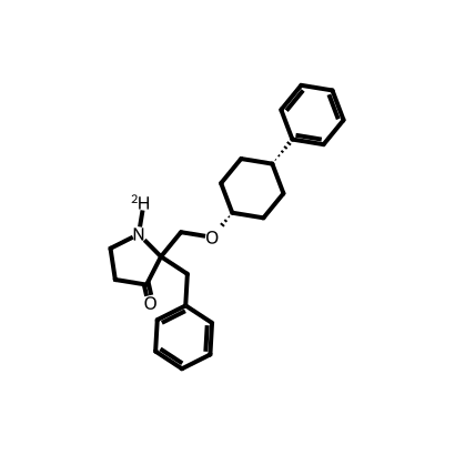 [2H]N1CCC(=O)C1(CO[C@H]1CC[C@@H](c2ccccc2)CC1)Cc1ccccc1